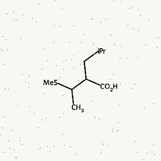 CSC(C)C(CC(C)C)C(=O)O